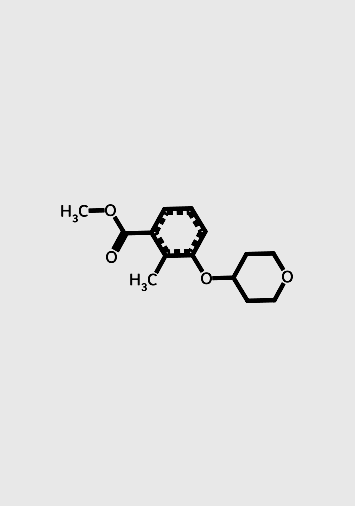 COC(=O)c1cccc(OC2CCOCC2)c1C